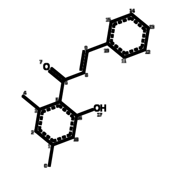 Cc1cc(C)c(C(=O)/C=C/c2ccccc2)c(O)c1